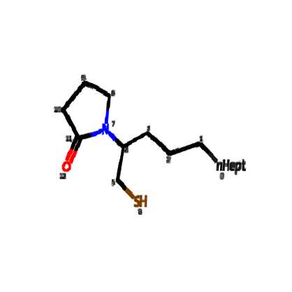 CCCCCCCCCCC(CS)N1CCCC1=O